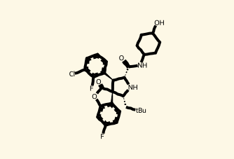 CC(C)(C)C[C@H]1N[C@@H](C(=O)NC2CCC(O)CC2)[C@H](c2cccc(Cl)c2F)[C@@]12C(=O)Oc1cc(F)ccc12